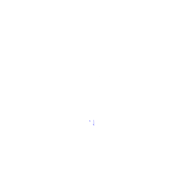 c1ccc(Cc2cccc3cnccc23)cc1